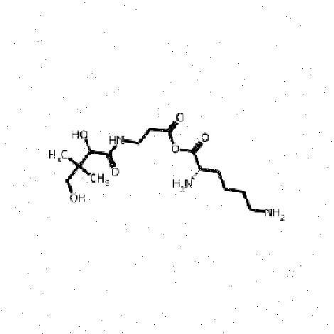 CC(C)(CO)[C@@H](O)C(=O)NCCC(=O)OC(=O)[C@@H](N)CCCCN